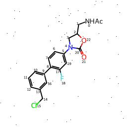 CC(=O)NCC1CN(c2ccc(-c3cccc(CCl)c3)c(F)c2)C(=O)O1